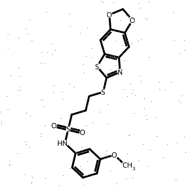 COc1cccc(NS(=O)(=O)CCCSc2nc3cc4c(cc3s2)OCO4)c1